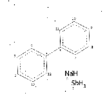 [NaH].[SbH3].c1ccc(-c2ccccc2)cc1